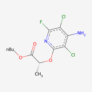 CCCCOC(=O)[C@@H](C)Oc1nc(F)c(Cl)c(N)c1Cl